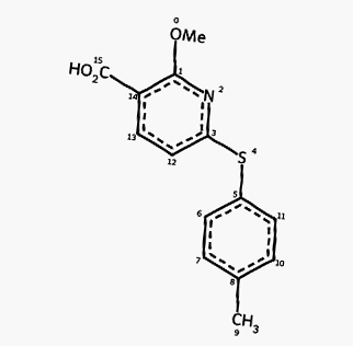 COc1nc(Sc2ccc(C)cc2)ccc1C(=O)O